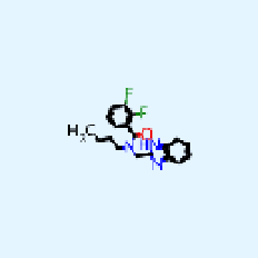 CCCCN(Cc1nc2ccccc2[nH]1)C(=O)c1cccc(F)c1F